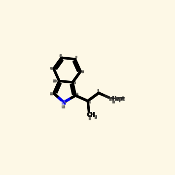 CCCCCCCCC(C)C1=c2ccccc2=C[N]1